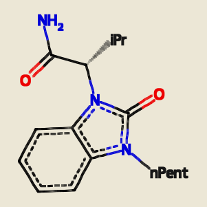 CCCCCn1c(=O)n([C@H](C(N)=O)C(C)C)c2ccccc21